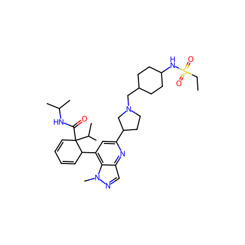 CCS(=O)(=O)NC1CCC(CN2CCC(c3cc(C4C=CC=CC4(C(=O)NC(C)C)C(C)C)c4c(cnn4C)n3)C2)CC1